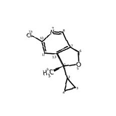 C[C@]1(C2CC2)OCc2cnc(Cl)cc21